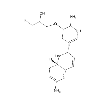 NC1=CC[C@@H]2N[C@H](C3=CNC(N)C(OCC(O)CF)C3)C=CC2=C1